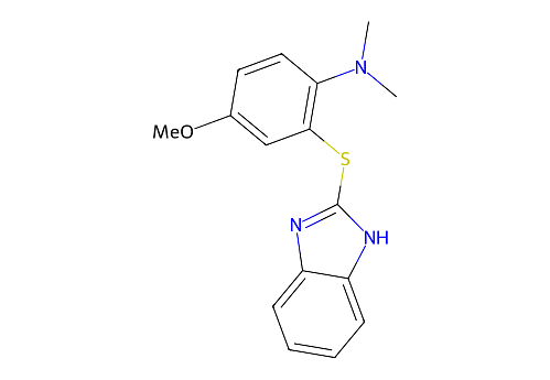 COc1ccc(N(C)C)c(Sc2nc3ccccc3[nH]2)c1